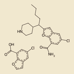 CCCCC(c1cc2cc(Cl)cc(C(N)=O)c2o1)C1CCNCC1.O=C(O)c1cc(Cl)cc2ccoc12